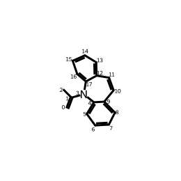 C=C(C)N1c2ccccc2C=Cc2ccccc21